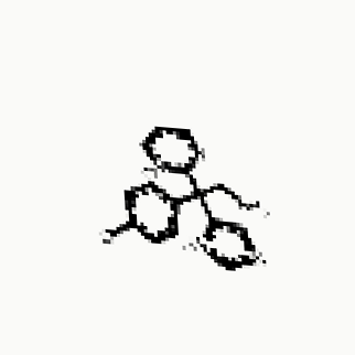 NCC(c1ncccn1)(c1cnc[nH]1)c1ccc(Cl)cc1Cl